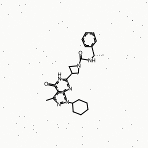 Cc1nn(C2CCCCC2)c2nc(C3CN(C(=O)N[C@@H](C)c4ccccc4)C3)[nH]c(=O)c12